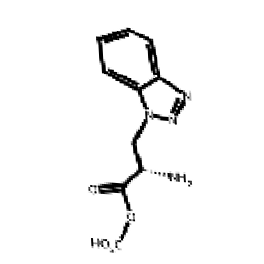 N[C@@H](Cn1nnc2ccccc21)C(=O)OC(=O)O